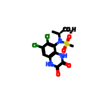 C[C@H](C(=O)O)N(c1c(Cl)c(Cl)cc2[nH]c(=O)c(=O)[nH]c12)S(C)(=O)=O